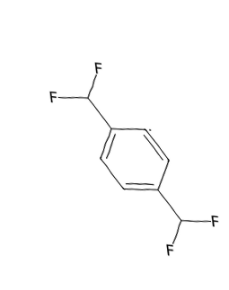 FC(F)c1[c]cc(C(F)F)cc1